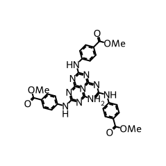 C=C(/N=c1/nc(Nc2ccc(C(=O)OC)cc2)nc2nc(Nc3ccc(C(=O)OC)cc3)nc(N)n12)Nc1ccc(C(=O)OC)cc1